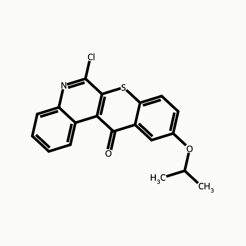 CC(C)Oc1ccc2sc3c(Cl)nc4ccccc4c3c(=O)c2c1